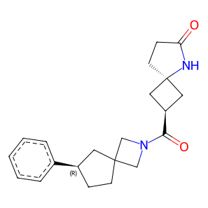 O=C1CC[C@]2(C[C@H](C(=O)N3CC4(CC[C@@H](c5ccccc5)C4)C3)C2)N1